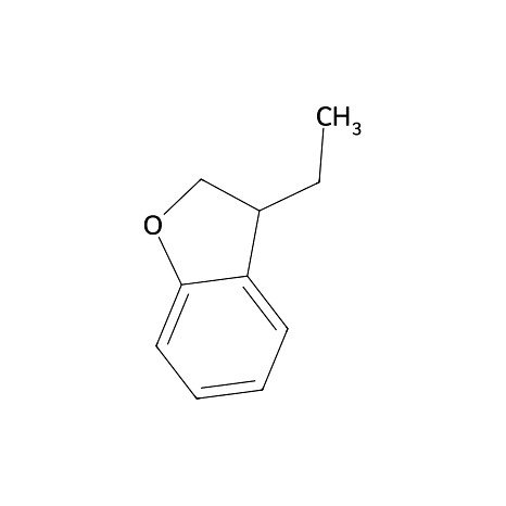 CCC1COc2ccccc21